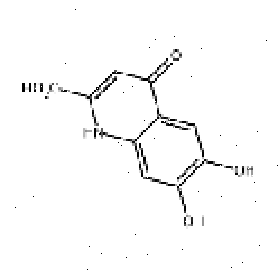 O=C(O)c1cc(=O)c2cc(O)c(O)cc2[nH]1